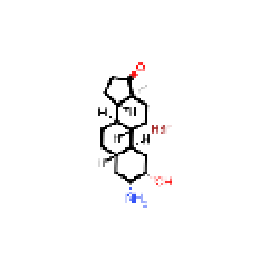 Br.C[C@]12CC[C@H]3[C@@H](CC[C@H]4C[C@@H](N)[C@@H](O)C[C@@H]43)[C@@H]1CCC2=O